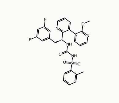 COc1ncccc1-c1cccnc1[C@H](Cc1cc(F)cc(F)c1)NC(=O)NS(=O)(=O)c1ccccc1C